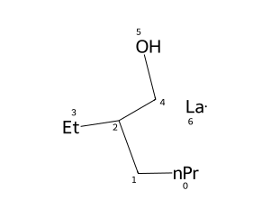 CCCCC(CC)CO.[La]